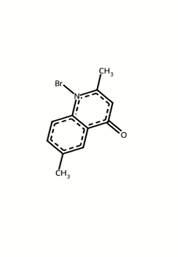 Cc1ccc2c(c1)c(=O)cc(C)n2Br